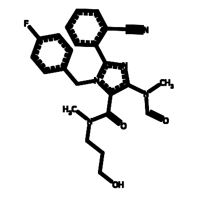 CN(CCCO)C(=O)c1c(N(C)C=O)nc(-c2ccccc2C#N)n1Cc1ccc(F)cc1